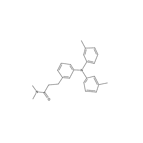 Cc1cccc(N(c2cccc(C)c2)c2cccc(CCC(=O)N(C)C)c2)c1